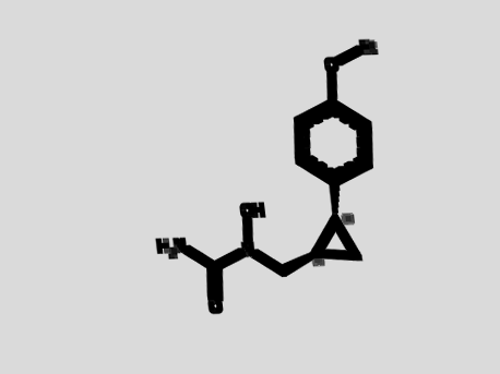 CCOc1ccc([C@@H]2C[C@H]2CN(O)C(N)=O)cc1